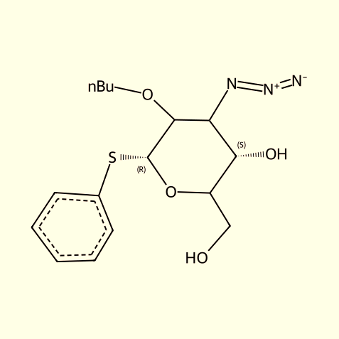 CCCCOC1C(N=[N+]=[N-])[C@H](O)C(CO)O[C@@H]1Sc1ccccc1